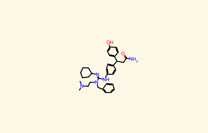 CN(C)CCN(Cc1ccccc1)/C(=N\C1CCCCC1)Nc1ccc(C(CC(N)=O)c2ccc(O)cc2)cc1